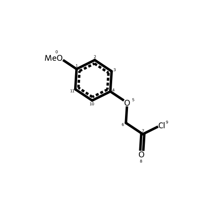 COc1ccc(OCC(=O)Cl)cc1